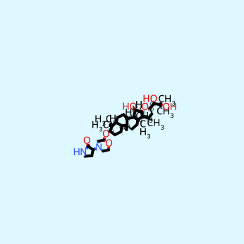 C[C@@H]1C[C@H]([C@H](O)C(C)(C)O)O[C@H]2C1[C@@]1(C)CC[C@@]34C[C@@]35CC[C@H](OC3CN(C6CCNC6=O)CCO3)C(C)(C)[C@@H]5CC[C@H]4[C@]1(C)[C@H]2O